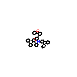 c1ccc(-c2ccccc2-c2ccccc2-c2ccccc2N(c2cccc(-c3cccc4oc5ccccc5c34)c2)c2ccc3c(c2)C2(CC4CCC2C4)c2ccccc2-3)cc1